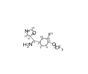 N[C@H](c1ccc(OC(F)(F)F)c(F)c1)c1cnco1